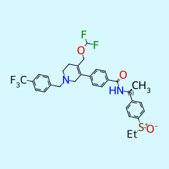 CC[S+]([O-])c1ccc([C@H](C)NC(=O)c2ccc(C3=C(COC(F)F)CCN(Cc4ccc(C(F)(F)F)cc4)C3)cc2)cc1